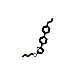 C/C=C/COc1ccc(-c2ccc(-c3ccc(CCC)cc3)cc2)s1